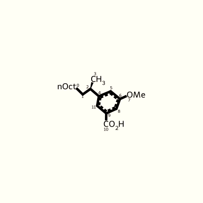 CCCCCCCCC[C@@H](C)c1cc(OC)cc(C(=O)O)c1